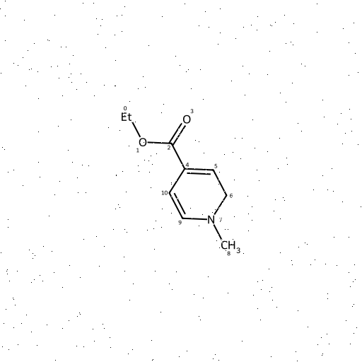 CCOC(=O)C1=CCN(C)C=C1